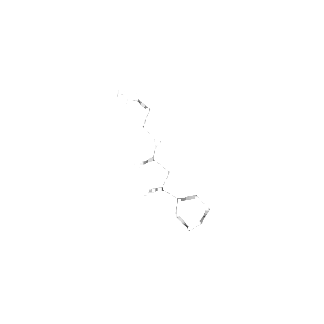 C=CCOC(=O)CC(=O)c1ccccc1